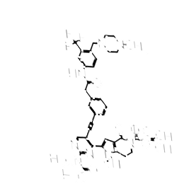 CC(=O)N(C)c1ncc(C#Cc2cccc(CC(=O)Nc3ccc(CN4CCN(C)CC4)c(C(F)(F)F)c3)c2)c(-c2cc3c(n2C)CCN(C(=O)OC(C)(C)C)C3=O)n1